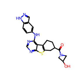 O=C(C1CCc2c(sc3ncnc(Nc4ccc5[nH]ncc5c4)c23)C1)N1CC(O)C1